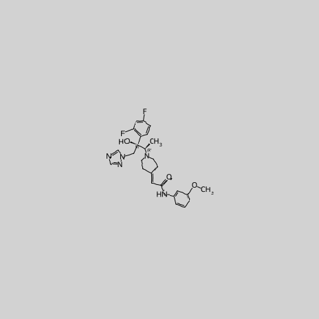 COc1cccc(NC(=O)C=C2CCN([C@H](C)[C@](O)(Cn3cncn3)c3ccc(F)cc3F)CC2)c1